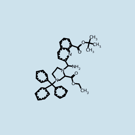 CCOC(=O)C1CN(C(c2ccccc2)(c2ccccc2)c2ccccc2)CCN1C(N)c1ccc2cccc(C(=O)OC(C)(C)C)c2n1